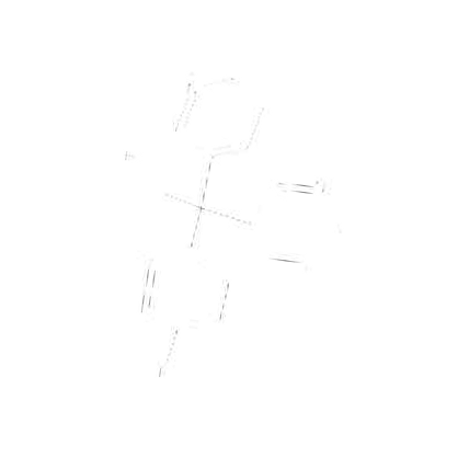 OCC(c1ccc(F)cc1)(c1cccnc1)c1cccnc1